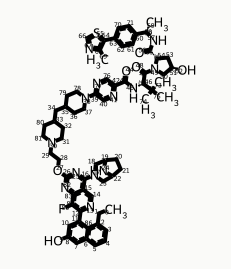 CCc1cccc2cc(O)cc(-c3ncc4c(N5CC6CCC(C5)N6)nc(OCCN5CCC(CC6CCN(c7cnc(C(=O)N[C@H](C(=O)N8C[C@H](O)C[C@H]8C(=O)N[C@@H](C)c8ccc(-c9scnc9C)cc8)C(C)(C)C)cn7)CC6)CC5)nc4c3F)c12